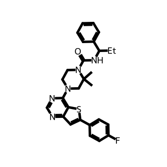 CCC(NC(=O)N1CCN(c2ncnc3cc(-c4ccc(F)cc4)sc23)CC1(C)C)c1ccccc1